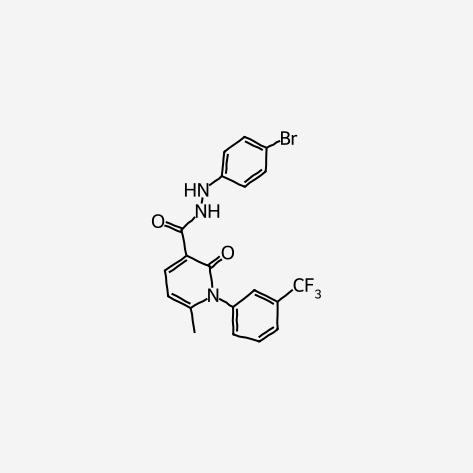 Cc1ccc(C(=O)NNc2ccc(Br)cc2)c(=O)n1-c1cccc(C(F)(F)F)c1